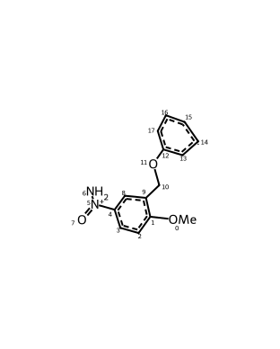 COc1ccc([N+](N)=O)cc1COc1c[c]ccc1